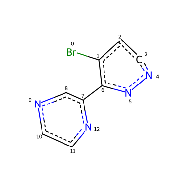 Brc1ccnnc1-c1cnccn1